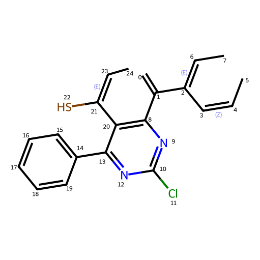 C=C(C(/C=C\C)=C/C)c1nc(Cl)nc(-c2ccccc2)c1/C(S)=C\C